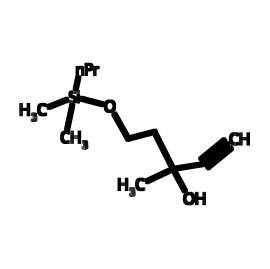 C#CC(C)(O)CCO[Si](C)(C)CCC